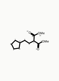 COC(=O)C(CCC1CCCC1)C(=O)OC